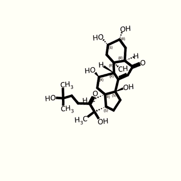 CC(C)(O)CCC(=O)C(C)(O)[C@H]1CC[C@@]2(O)C3=CC(=O)[C@@H]4C[C@@H](O)[C@@H](O)C[C@]4(C)[C@H]3[C@H](O)C[C@]12C